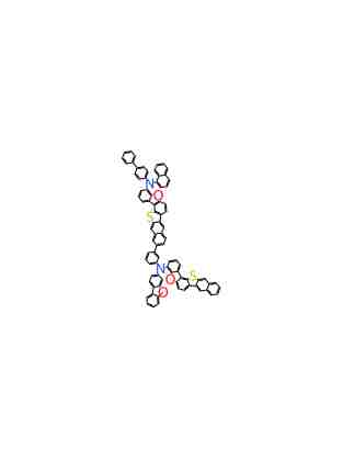 c1ccc(-c2ccc(N(c3cccc4ccccc34)c3cccc4c3oc3ccc5c6cc7ccc(-c8cccc(N(c9ccc%10c(c9)oc9ccccc9%10)c9cccc%10c9oc9ccc%11c%12cc%13ccccc%13cc%12sc%11c9%10)c8)cc7cc6sc5c34)cc2)cc1